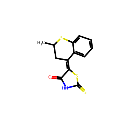 CC1CC(=C2SC(=S)NC2=O)c2ccccc2S1